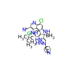 BC(Nc1cc(Cl)c2ncc(C#N)c(NCC(C)(C)C)c2c1)(C1=CN(C23CCN(CC2)CC3)NN1)c1ccc(Cl)cc1